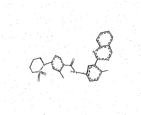 Cc1cc(N2CCCCS2(=O)=O)ccc1C(=O)Nc1ccc(C)c(-c2ncc3ccccc3n2)c1